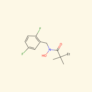 CCC(C)(C)C(=O)N(O)Cc1cc(F)ccc1F